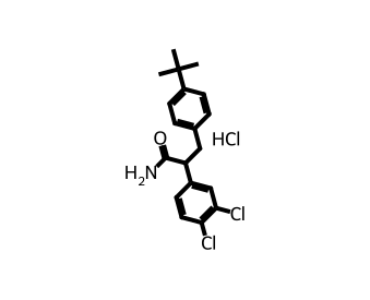 CC(C)(C)c1ccc(CC(C(N)=O)c2ccc(Cl)c(Cl)c2)cc1.Cl